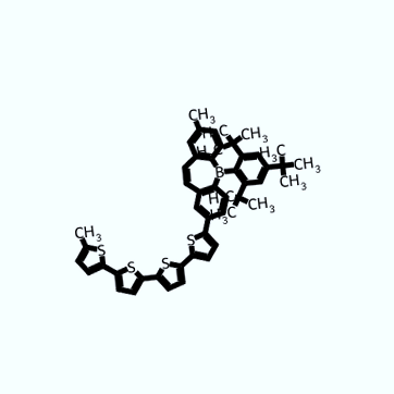 Cc1ccc2c(c1)C=Cc1cc(-c3ccc(-c4ccc(-c5ccc(-c6ccc(C)s6)s5)s4)s3)ccc1B2c1c(C(C)(C)C)cc(C(C)(C)C)cc1C(C)(C)C